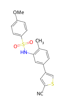 COc1ccc(S(=O)(=O)Nc2cc(-c3csc(C#N)c3)ccc2C)cc1